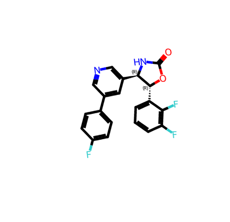 O=C1N[C@H](c2cncc(-c3ccc(F)cc3)c2)[C@@H](c2cccc(F)c2F)O1